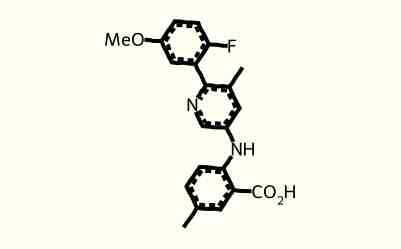 COc1ccc(F)c(-c2ncc(Nc3ccc(C)cc3C(=O)O)cc2C)c1